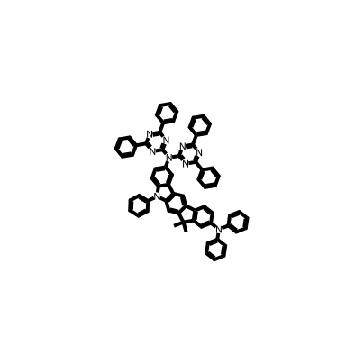 CC1(C)c2cc(N(c3ccccc3)c3ccccc3)ccc2-c2cc3c4cc(N(c5nc(-c6ccccc6)nc(-c6ccccc6)n5)c5nc(-c6ccccc6)nc(-c6ccccc6)n5)ccc4n(-c4ccccc4)c3cc21